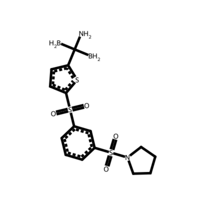 BC(B)(N)c1ccc(S(=O)(=O)c2cccc(S(=O)(=O)N3CCCC3)c2)s1